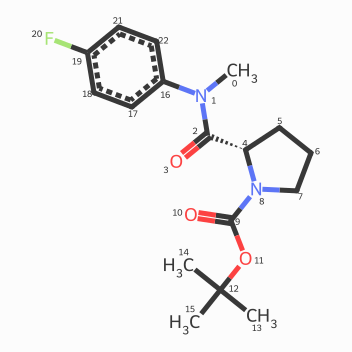 CN(C(=O)[C@@H]1CCCN1C(=O)OC(C)(C)C)c1ccc(F)cc1